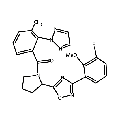 COc1c(F)cccc1-c1noc(C2CCCN2C(=O)c2cccc(C)c2-n2nccn2)n1